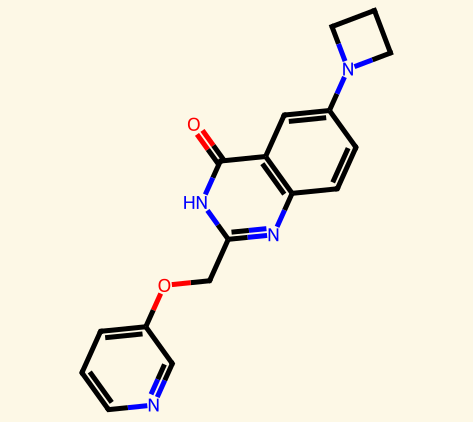 O=c1[nH]c(COc2cccnc2)nc2ccc(N3CCC3)cc12